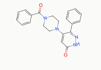 O=C(c1ccccc1)N1CCN(c2cc(=O)[nH]nc2-c2ccccc2)CC1